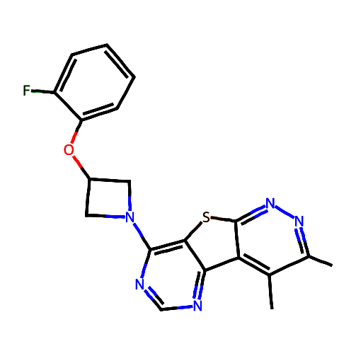 Cc1nnc2sc3c(N4CC(Oc5ccccc5F)C4)ncnc3c2c1C